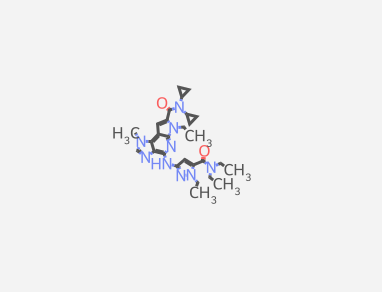 CCN(CC)C(=O)c1cc(Nc2nc3c(cc(C(=O)N(C4CC4)C4CC4)n3CC)c3c2ncn3C)nn1CC